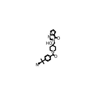 CC(C)(C#N)c1ccc(C(=O)N2CCC(O)(Cn3cnn4cccc4c3=O)CC2)cc1